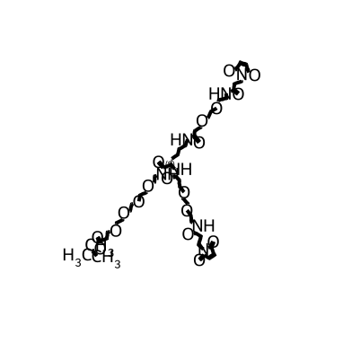 CC(C)(C)OC(=O)CCOCCOCCOCCOCCNC(=O)[C@H](CCCCNC(=O)CCOCCOCCNC(=O)CCN1C(=O)C=CC1=O)NC(=O)CCOCCOCCNC(=O)CCN1C(=O)C=CC1=O